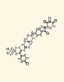 CC1(C)CCC(CN2CCC3(CCC(Sc4ccc5c(c4)CN(C4CCC(=O)NC4=O)C5=O)CC3)CC2)=C(c2ccc(Cl)cc2)C1